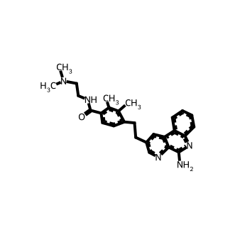 Cc1c(CCc2cnc3c(N)nc4ccccc4c3c2)ccc(C(=O)NCCN(C)C)c1C